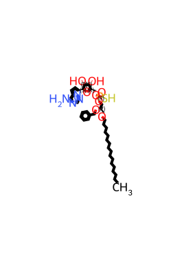 CCCCCCCCCCCCCCCCCCOC[C@H](CO[P@@](=O)(S)OC[C@H]1O[C@@H](c2ccc3c(N)ncnn23)[C@H](O)[C@@H]1O)OCc1ccccc1